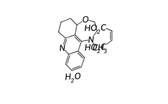 CN1CCOC2CCCc3nc4ccccc4c1c32.O.O=C(O)/C=C\C(=O)O